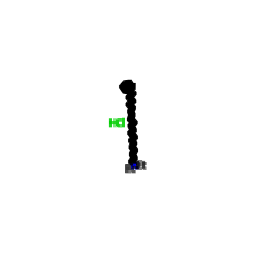 CCN(CC)CCCCCCCCCCCCCCCCCCCCc1ccccc1C.Cl